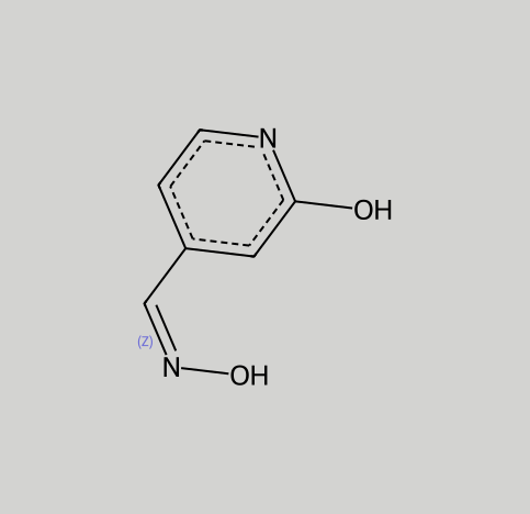 O/N=C\c1ccnc(O)c1